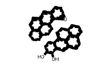 Oc1ccc2c(cc3ccc4cccc5ccc2c3c45)c1O.c1cc2ccc3cc4ccc5oc5c4c4ccc(c1)c2c34